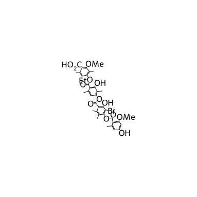 CCc1c(C)c(C(=O)O)c(OC)c(C)c1OC(=O)c1c(C)cc(OC(=O)c2c(C)c(C)c(OC(=O)c3c(C)cc(O)cc3OC)c(Br)c2O)c(C)c1O